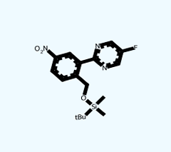 CC(C)(C)[Si](C)(C)OCc1ccc([N+](=O)[O-])cc1-c1ncc(F)cn1